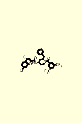 O=C(NC1CCN(C(=O)c2cc(C(F)(F)F)cc(C(F)(F)F)c2)C(Cc2ccccc2)C1)c1cc(=O)c2ccc(Cl)cc2o1